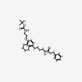 CC(C)(C)OC(=O)NCCOc1ccc(CCCCNC(=O)OCc2ccccc2)c2c1CCCC2